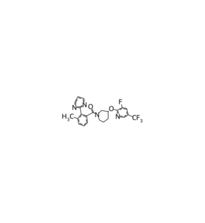 Cc1cccc(C(=O)N2CCCC(Oc3ncc(C(F)(F)F)cc3F)C2)c1-c1ncccn1